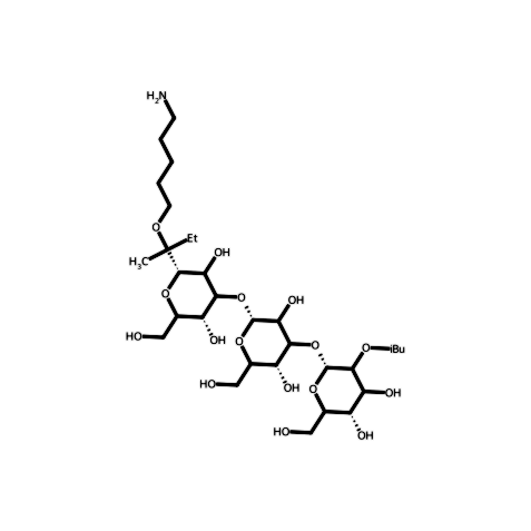 CCC(C)OC1C(O)[C@H](O)C(CO)O[C@@H]1OC1C(O)[C@@H](OC2C(O)[C@@H](C(C)(CC)OCCCCCN)OC(CO)[C@H]2O)OC(CO)[C@H]1O